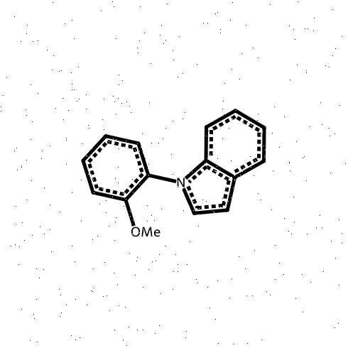 COc1ccccc1-n1ccc2ccccc21